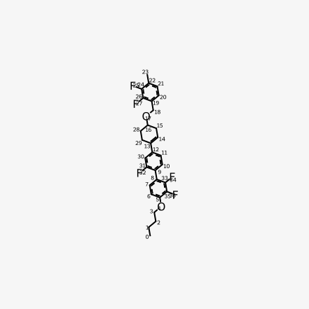 CCCCOc1ccc(-c2ccc(C3=CCC(OCc4ccc(C)c(F)c4F)CC3)cc2F)c(F)c1F